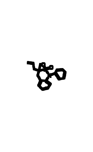 C=CCC1(C)Cc2ccccc2N(c2ccccc2)S1(=O)=O